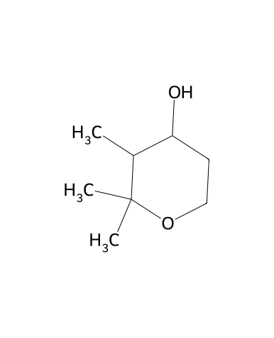 CC1C(O)CCOC1(C)C